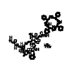 Br.Br.CNCC(=O)NCCNC(=O)CNC(=O)[C@H](CC(C)C)NC(=O)[C@H](Cc1ccccc1)NC(=O)CNC(=O)[C@H](CCCCN)N(C(=O)CCC(=O)Nc1ccc(-c2c3nc(c(-c4ccccc4)c4ccc([nH]4)c(-c4ccccc4)c4nc(c(-c5ccccc5)c5ccc2[nH]5)C=C4)C=C3)cc1)C(=O)CNC